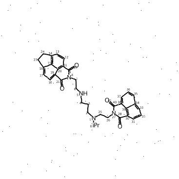 CC(C)N(CCCNCCN1C(=O)c2ccc3c4c(ccc(c24)C1=O)CC3)CCN1C(=O)c2cccc3cccc(c23)C1=O